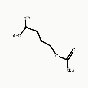 CCC[C](CCCOC(=O)C(C)(C)C)OC(C)=O